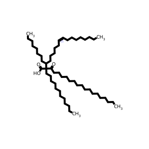 CCCCCCCC/C=C\CCCCCC(CCCCCCCC)C(CCCCCCCCCCCC)(C(=O)O)C(=O)CCCCCCCCCCCCCCCCC